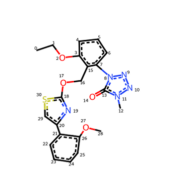 CCOc1cccc(-n2nnn(C)c2=O)c1COc1nc(-c2ccccc2OC)cs1